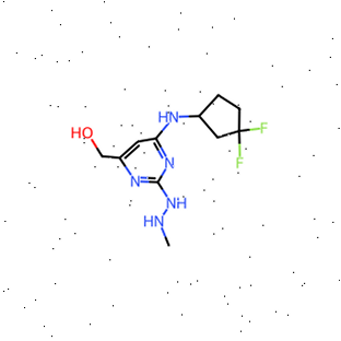 CNNc1nc(CO)cc(NC2CCC(F)(F)C2)n1